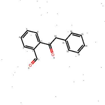 O=[C]c1ccccc1C(=O)Cc1ccccc1